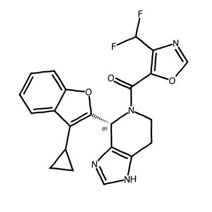 O=C(c1ocnc1C(F)F)N1CCc2[nH]cnc2[C@@H]1c1oc2ccccc2c1C1CC1